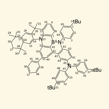 CC(C)(C)c1ccc(N2B3c4cccc5c4N(c4cc6c(cc4C5(C)C)C(C)(C)CCC6(C)C)c4cc(-c5ccccc5)cc(c43)-c3cc(N(c4ccc(C(C)(C)C)cc4)c4ccc(C(C)(C)C)cc4)ccc32)cc1